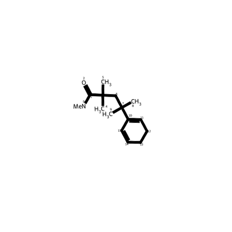 CNC(=O)C(C)(C)CC(C)(C)C1=CCCC=C1